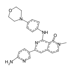 Cn1ccc2cc(-c3ccc(N)nc3)nc(Nc3ccc(N4CCOCC4)cc3)c2c1=O